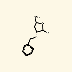 CCC1OC(OC)C[C@H]1OCc1ccccc1